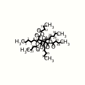 CCCCCCC(C(=O)OC(=O)CCC)C(O)(C(=O)OC(=O)CCC)C(CCCCCC)(CCCCCC)C(=O)OC(=O)CCC